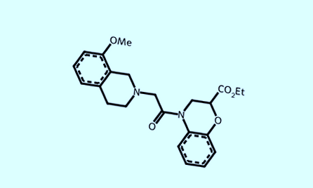 CCOC(=O)C1CN(C(=O)CN2CCc3cccc(OC)c3C2)c2ccccc2O1